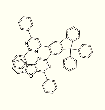 c1ccc(-c2cc(-c3cc4c(cc3-c3nc(-c5ccccc5)c5oc6ccccc6c5n3)C(c3ccccc3)(c3ccccc3)c3ccccc3-4)nc(-c3ccccc3)n2)cc1